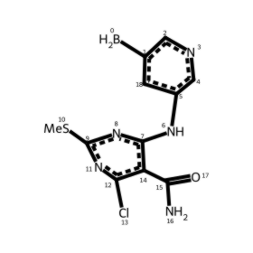 Bc1cncc(Nc2nc(SC)nc(Cl)c2C(N)=O)c1